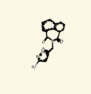 Cc1cc(CN2C(=O)c3cccc4cccc(c34)C2=O)on1